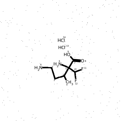 CC(CCN)C(N)(C(=O)O)C(F)F.Cl.Cl